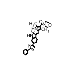 Cc1[nH]c(/C=C2\C(=O)Nc3cc(-c4csc(-c5ccccc5)n4)ccc32)c(C)c1C(=O)N1CCOCC1